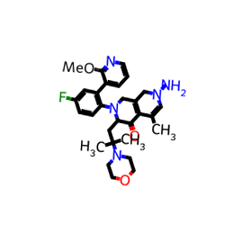 COc1ncccc1-c1cc(F)ccc1N1CC2=C(C(=O)C1CC(C)(C)N1CCOCC1)C(C)=CN(N)C2